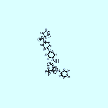 O=C(Nc1ccc(C2CCN(C(=O)C3CCOC3)CC2)cc1)c1nc(-c2ccccc2)oc1C(F)(F)F